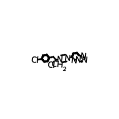 C=C(Cc1ccc(Cl)cc1Cl)N1CCN(c2ccc3nncn3n2)CC1